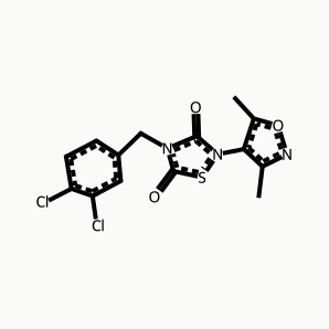 Cc1noc(C)c1-n1sc(=O)n(Cc2ccc(Cl)c(Cl)c2)c1=O